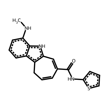 CNc1cccc2c3c([nH]c12)C=C(C(=O)Nc1cccs1)C=CC3